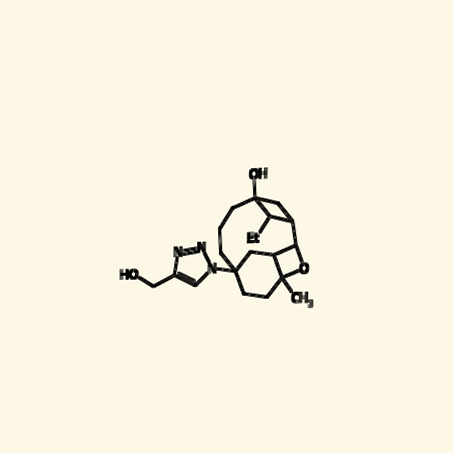 CCC1C2CC1(O)CCCC1(n3cc(CO)nn3)CCC3(C)OC2C3C1